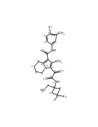 Cc1cc(NC(=O)c2c(C)c(C(=O)C(=O)NC3(CO)CC(F)(F)C3)n3c2CCCC3)ccc1F